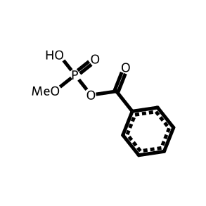 COP(=O)(O)OC(=O)c1ccccc1